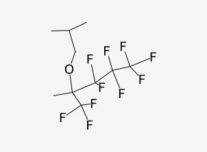 CC(C)COC(C)(C(F)(F)F)C(F)(F)C(F)(F)C(F)(F)F